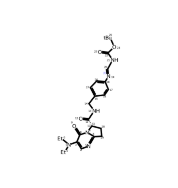 CCN(CC)c1cnc2n(c1=O)[C@H](C(=O)NCc1ccc(/N=C/NC(=O)OC(C)(C)C)cc1)CC2